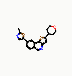 Cc1ncc(-c2ccc3cnc4cc(C5CCOCC5)sc4c3c2)s1